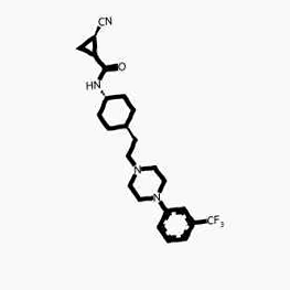 N#C[C@@H]1CC1C(=O)N[C@H]1CC[C@H](CCN2CCN(c3cccc(C(F)(F)F)c3)CC2)CC1